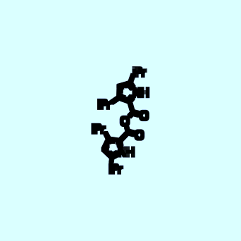 CC(C)c1cc(C(C)C)c(C(=O)OC(=O)c2[nH]c(C(C)C)cc2C(C)C)[nH]1